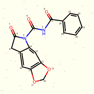 O=C(NC(=O)N1C(=O)Cc2cc3c(cc21)OCO3)c1ccccc1